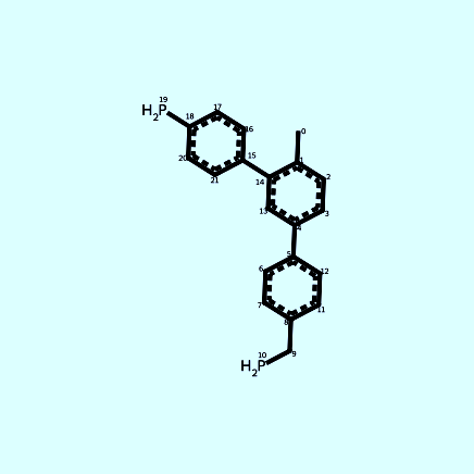 Cc1ccc(-c2ccc(CP)cc2)cc1-c1ccc(P)cc1